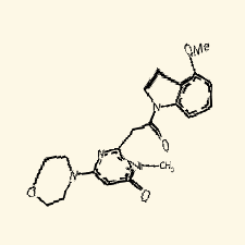 COc1cccc2c1CCN2C(=O)Cc1nc(N2CCOCC2)cc(=O)n1C